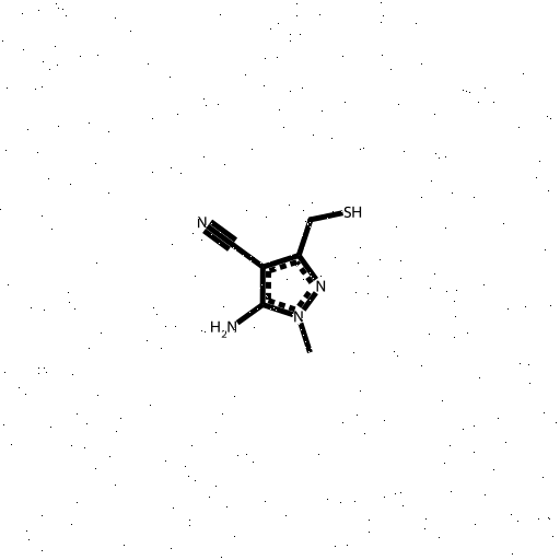 Cn1nc(CS)c(C#N)c1N